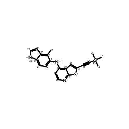 Cc1c(Nc2ccnc3sc(C#C[Si](C)(C)C)cc23)ccc2[nH]ccc12